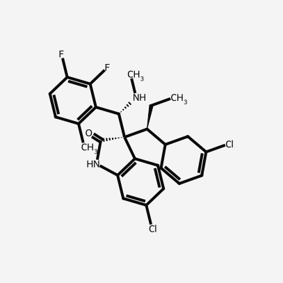 CC[C@@H](C1C=CC=C(Cl)C1)[C@@]1([C@@H](NC)c2c(C)ccc(F)c2F)C(=O)Nc2cc(Cl)ccc21